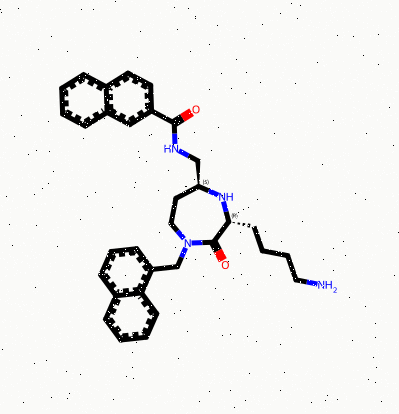 NCCCC[C@H]1N[C@H](CNC(=O)c2ccc3ccccc3c2)CCN(Cc2cccc3ccccc23)C1=O